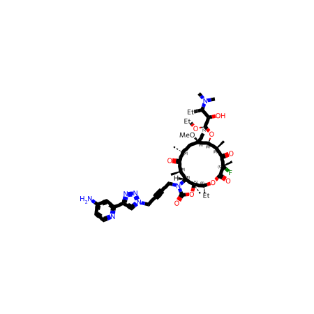 CCO[C@@H](O[C@@H]1[C@@H](C)C(=O)[C@](C)(F)C(=O)O[C@H](CC)[C@@]2(C)OC(=O)N(CC#CCn3cc(-c4cc(N)ccn4)nn3)[C@@H]2[C@@H](C)C(=O)[C@H](C)C[C@@]1(C)OC)C(O)C(CC)N(C)C